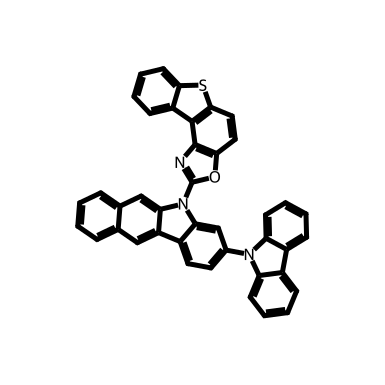 c1ccc2cc3c(cc2c1)c1ccc(-n2c4ccccc4c4ccccc42)cc1n3-c1nc2c(ccc3sc4ccccc4c32)o1